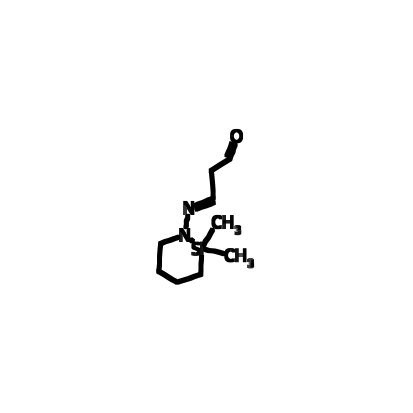 C[Si]1(C)CCCCN1N=CCC=O